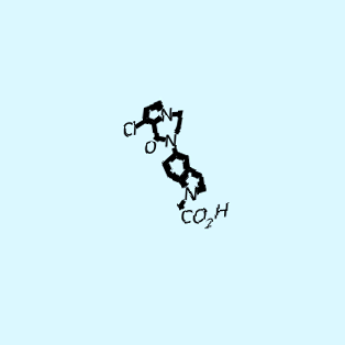 O=C(O)Cn1ccc2cc(N3CCn4ccc(Cl)c4C3=O)ccc21